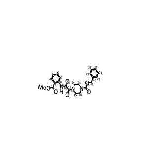 COC(=O)c1ccccc1NC(=O)C(=O)N1CCN(C(=O)OCc2ccccc2)CC1